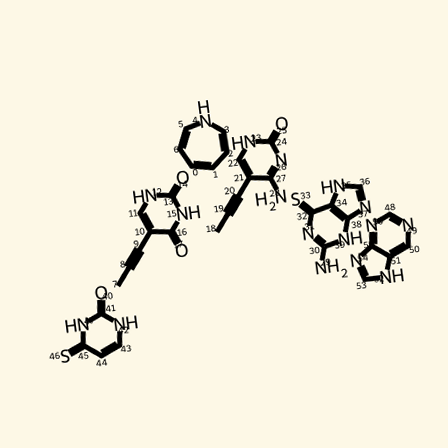 C1=CC=CNC=C1.CC#Cc1c[nH]c(=O)[nH]c1=O.CC#Cc1c[nH]c(=O)nc1N.Nc1nc(=S)c2[nH]cnc2[nH]1.O=c1[nH]ccc(=S)[nH]1.c1ncc2[nH]cnc2n1